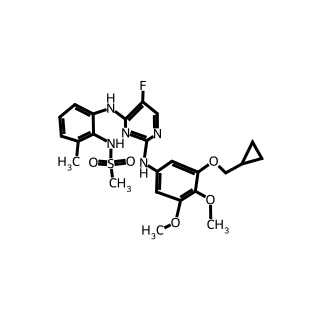 COc1cc(Nc2ncc(F)c(Nc3cccc(C)c3NS(C)(=O)=O)n2)cc(OCC2CC2)c1OC